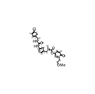 COCCn1nc(OC(=O)N(C)Cc2csc(NC(=O)NCc3ccc(Cl)s3)n2)ccc1=O